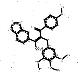 CC(C)Oc1ccc(C(=O)C(Cc2cc(OC(C)C)c(OC(C)C)c(OC(C)C)c2)=C(C(=O)O)c2ccc3nsnc3c2)cc1